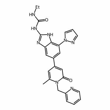 CCNC(=O)Nc1nc2cc(-c3cc(C)n(Cc4ccccn4)c(=O)c3)cc(-n3cccn3)c2[nH]1